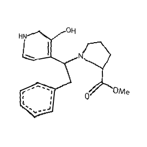 COC(=O)C1CCCN1C(Cc1ccccc1)C1=C(O)CNC=C1